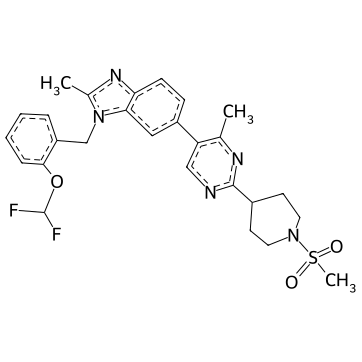 Cc1nc(C2CCN(S(C)(=O)=O)CC2)ncc1-c1ccc2nc(C)n(Cc3ccccc3OC(F)F)c2c1